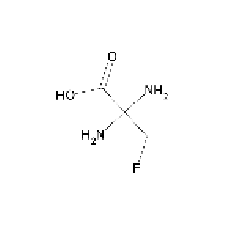 NC(N)(CF)C(=O)O